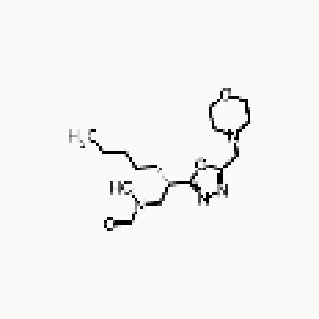 CCCCC[C@@H](CN(O)C=O)c1nnc(CN2CCOCC2)o1